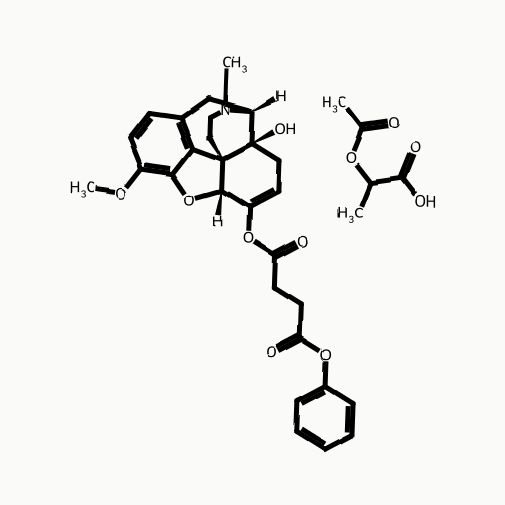 CC(=O)OC(C)C(=O)O.COc1ccc2c3c1O[C@H]1C(OC(=O)CCC(=O)Oc4ccccc4)=CC[C@@]4(O)[C@@H](C2)N(C)CC[C@]314